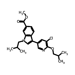 COC(=O)c1ccc2c(-c3cnc(OCC(C)C)c(Cl)c3)cn(CC(C)C)c2c1